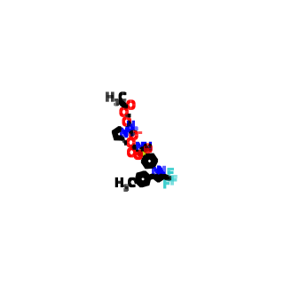 CCC(=O)OCO/N=[N+](/[O-])N1CCC[C@H]1COC(=O)NS(=O)(=O)c1ccc(-n2nc(C(F)(F)F)cc2-c2ccc(C)cc2)cc1